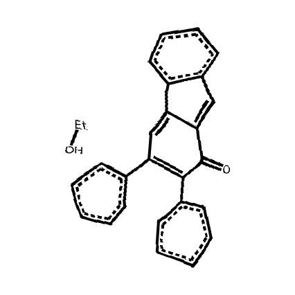 CCO.O=C1C2=Cc3ccccc3C2=CC(c2ccccc2)=C1c1ccccc1